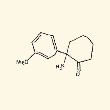 COc1cccc(C2(N)CCCCC2=O)c1